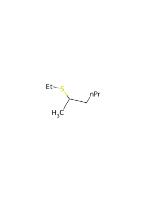 [CH2]CCCC(C)SCC